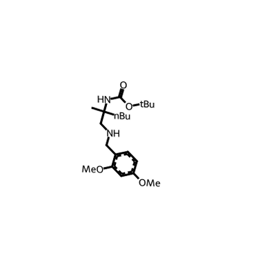 CCCCC(C)(CNCc1ccc(OC)cc1OC)NC(=O)OC(C)(C)C